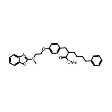 COC(=O)C(CCCCc1ccccc1)Cc1ccc(OCCN(C)c2nc3ccccc3o2)cc1